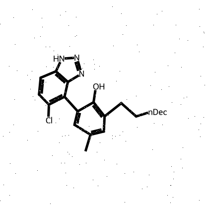 CCCCCCCCCCCCc1cc(C)cc(-c2c(Cl)ccc3[nH]nnc23)c1O